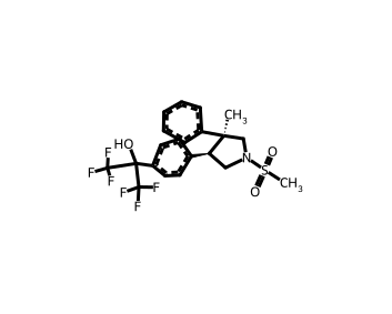 C[C@]1(c2ccccc2)CN(S(C)(=O)=O)C[C@H]1c1ccc(C(O)(C(F)(F)F)C(F)(F)F)cc1